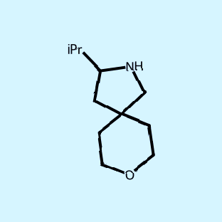 CC(C)C1CC2(CCOCC2)CN1